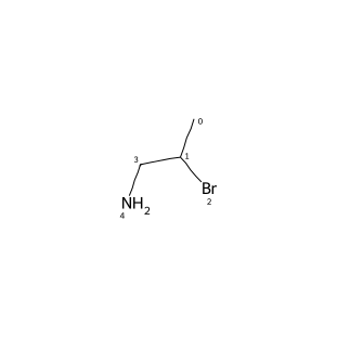 CC(Br)CN